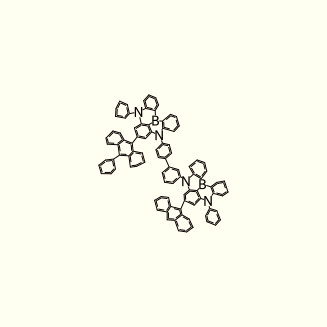 c1ccc(-c2c3ccccc3c(-c3cc4c5c(c3)N(c3ccc(-c6cccc(N7c8ccccc8B8c9ccccc9N(c9ccccc9)c9cc(-c%10c%11ccccc%11cc%11ccccc%10%11)cc7c98)c6)cc3)c3ccccc3B5c3ccccc3N4c3ccccc3)c3ccccc23)cc1